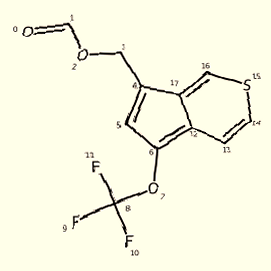 O=COCc1cc(OC(F)(F)F)c2ccscc1-2